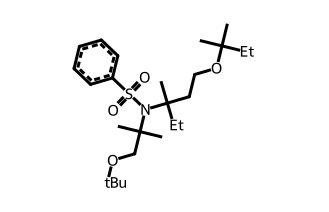 CCC(C)(C)OCCC(C)(CC)N(C(C)(C)COC(C)(C)C)S(=O)(=O)c1ccccc1